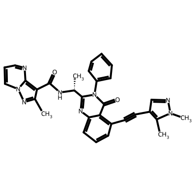 Cc1nn2cccnc2c1C(=O)N[C@H](C)c1nc2cccc(C#Cc3cnn(C)c3C)c2c(=O)n1-c1ccccc1